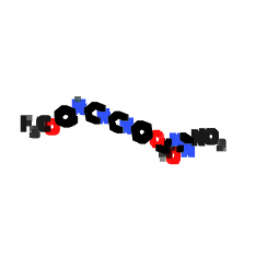 CN(c1ccc(OC(F)(F)F)cc1)C1CCN(C2CCN(c3ccc(OC[C@@]4(C)Cn5cc([N+](=O)[O-])nc5O4)cc3)CC2)CC1